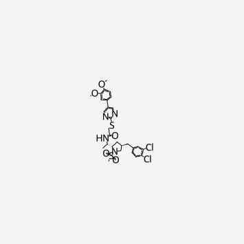 COc1ccc(-c2cnc(SCC(=O)NC(C)[C@@H]3C[C@@H](Cc4ccc(Cl)c(Cl)c4)CN3S(C)(=O)=O)nc2)cc1OC